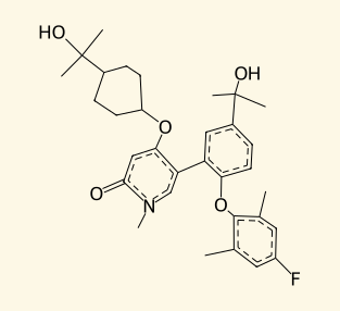 Cc1cc(F)cc(C)c1Oc1ccc(C(C)(C)O)cc1-c1cn(C)c(=O)cc1OC1CCC(C(C)(C)O)CC1